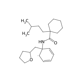 CC(C)CCC1(C(=O)NC2(CC3CCCO3)[CH]C=CC=C2)CCCCC1